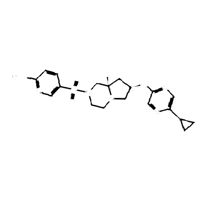 COc1ccc(S(=O)(=O)N2CCN3C[C@H](Oc4cnc(C5CC5)cn4)C[C@H]3C2)cn1